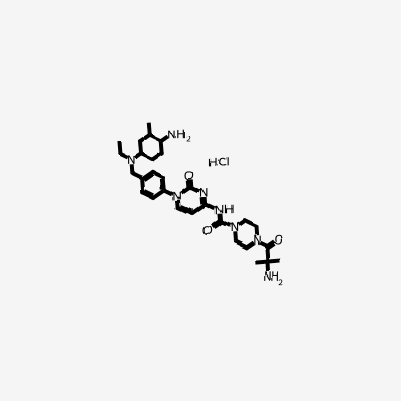 CCN(Cc1ccc(-n2ccc(NC(=O)N3CCN(C(=O)C(C)(C)N)CC3)nc2=O)cc1)C1CCC(N)C(C)C1.Cl